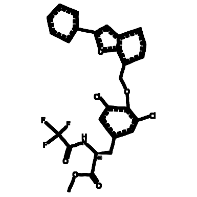 COC(=O)[C@H](Cc1cc(Cl)c(OCc2cccc3cc(-c4ccccc4)oc23)c(Cl)c1)NC(=O)C(F)(F)F